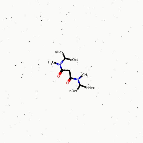 CCCCCCCCC(CCCCCC)N(C)C(=O)CC(=O)N(C)C(CCCCCC)CCCCCCCC